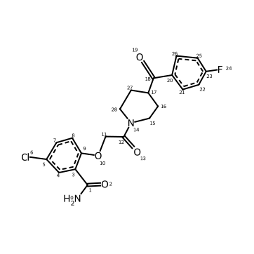 NC(=O)c1cc(Cl)ccc1OCC(=O)N1CCC(C(=O)c2ccc(F)cc2)CC1